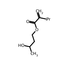 C=C(C(=O)OCCC(C)O)C(C)C